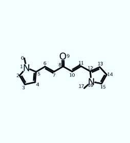 Cn1cccc1C=CC(=O)C=Cc1cccn1C